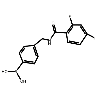 O=C(NCc1ccc(B(O)O)cc1)c1ccc(F)cc1F